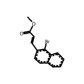 COC(=O)C=Cc1ccc2ccccc2c1Br